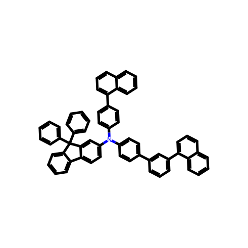 c1ccc(C2(c3ccccc3)c3ccccc3-c3ccc(N(c4ccc(-c5cccc(-c6cccc7ccccc67)c5)cc4)c4ccc(-c5cccc6ccccc56)cc4)cc32)cc1